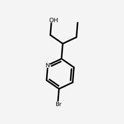 CCC(CO)c1ccc(Br)cn1